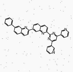 c1ccc(-c2ccc3ccc(-c4ccc5ccc(-c6nc(-c7cccnc7)cc(-c7cccnc7)n6)nc5c4)nc3c2)cc1